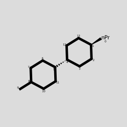 CCC[C@H]1CC[C@H](C2CCC(C)CC2)CC1